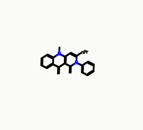 C=C1C2=C(C=C(CCC)N(c3ccccc3)C2=C)N(C)c2ccccc21